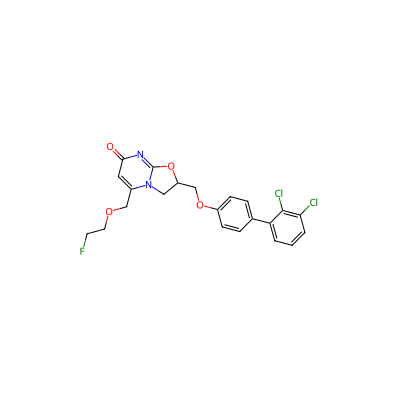 O=c1cc(COCCF)n2c(n1)OC(COc1ccc(-c3cccc(Cl)c3Cl)cc1)C2